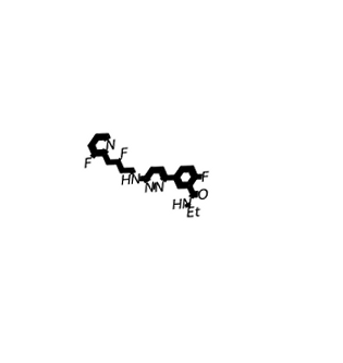 CCNC(=O)c1cc(-c2ccc(NCC[C@H](F)Cc3ncccc3F)nn2)ccc1F